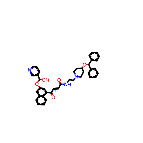 O=C(/C=C/C(=O)c1cc(OC(O)c2cccnc2)cc2ccccc12)NCCN1CCC(OC(c2ccccc2)c2ccccc2)CC1